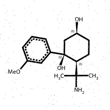 COc1cccc([C@]2(O)C[C@@H](O)CC[C@H]2C(C)(C)N)c1